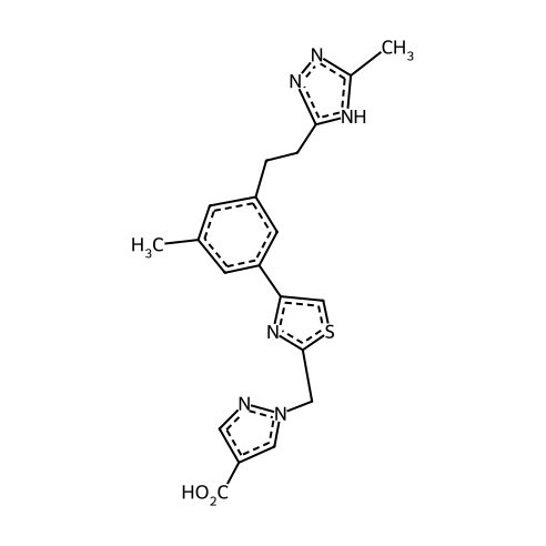 Cc1cc(CCc2nnc(C)[nH]2)cc(-c2csc(Cn3cc(C(=O)O)cn3)n2)c1